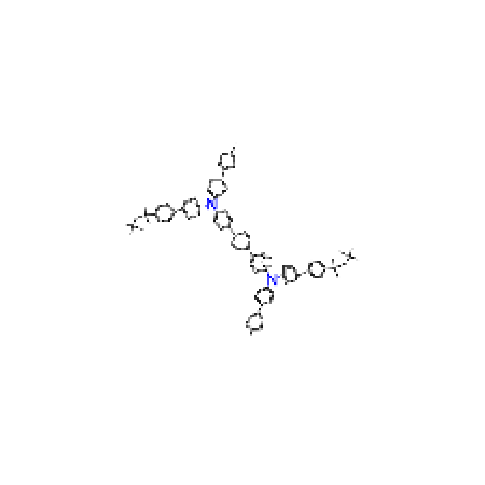 Cc1ccc(-c2ccc(N(c3ccc(-c4ccc(-c5ccc(N(c6ccc(-c7ccc(C)cc7)cc6)c6ccc(-c7ccc(C(C)(C)CC(C)(C)C)cc7)cc6)cc5)cc4)cc3)c3ccc(-c4ccc(C(C)(C)CC(C)(C)C)cc4)cc3)cc2)cc1